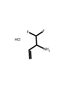 C=CC(N)C(F)F.Cl